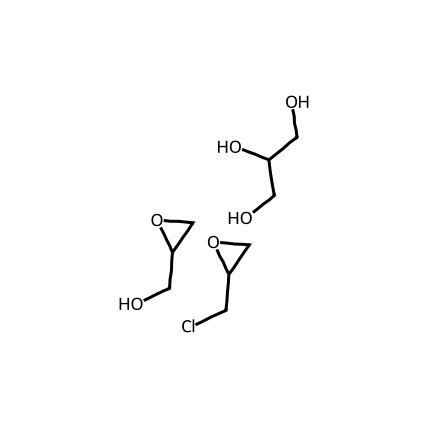 ClCC1CO1.OCC(O)CO.OCC1CO1